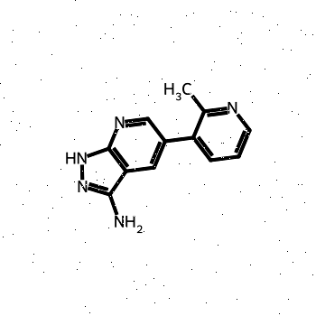 Cc1ncccc1-c1cnc2[nH]nc(N)c2c1